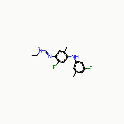 CCN(C)C=Nc1cc(C)c(Nc2cc(C)cc(F)c2)cc1F